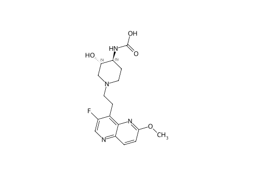 COc1ccc2ncc(F)c(CCN3CC[C@H](NC(=O)O)[C@@H](O)C3)c2n1